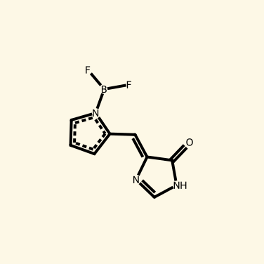 O=C1NC=N/C1=C\c1cccn1B(F)F